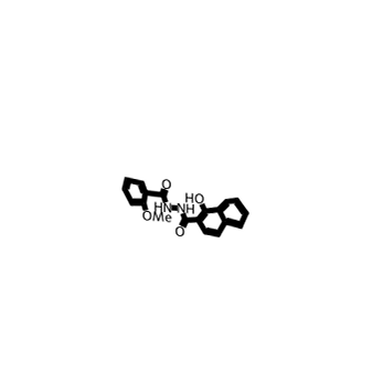 COc1ccccc1C(=O)NNC(=O)c1ccc2ccccc2c1O